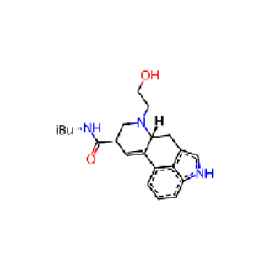 CC[C@@H](C)NC(=O)[C@@H]1C=C2c3cccc4[nH]cc(c34)C[C@H]2N(CCO)C1